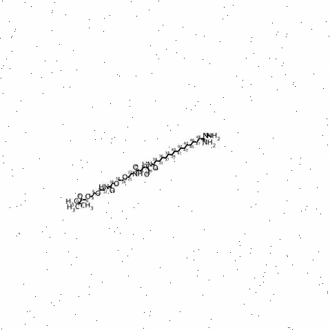 CC(C)(C)C(=O)COCCOCCNC(=O)COCCOCCNC(=O)CCC(C=O)NC(=O)CCCCCCCCCCCCCCC/C(N)=N/N